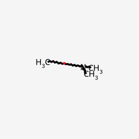 CCCCCCCCCCCCCCCCCCCCN(CCCC)CCCC